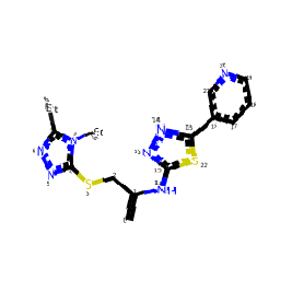 C=C(CSc1nnc(CC)n1CC)Nc1nnc(-c2cccnc2)s1